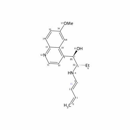 C=C/C=C/N[C@@H](CC)[C@H](O)c1ccnc2ccc(OC)cc12